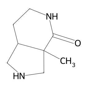 CC12CNCC1CCNC2=O